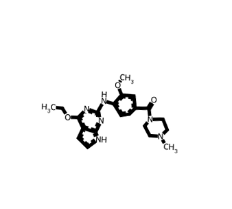 CCOc1nc(Nc2ccc(C(=O)N3CCN(C)CC3)cc2OC)nc2[nH]ccc12